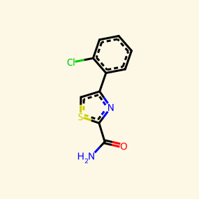 NC(=O)c1nc(-c2ccccc2Cl)cs1